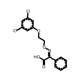 O=C(O)C(=NOCCOc1cc(Cl)cc(Cl)c1)c1ccccc1